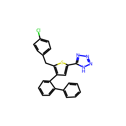 Clc1ccc(Cc2sc(-c3nnn[nH]3)cc2-c2ccccc2-c2ccccc2)cc1